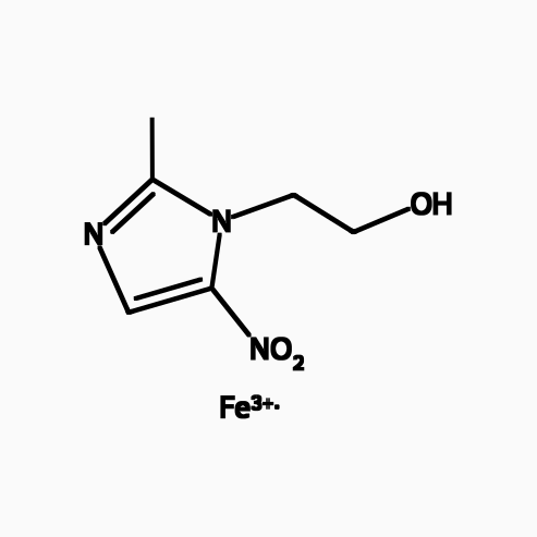 Cc1ncc([N+](=O)[O-])n1CCO.[Fe+3]